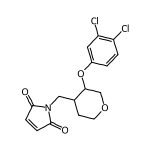 O=C1C=CC(=O)N1CC1CCOCC1Oc1ccc(Cl)c(Cl)c1